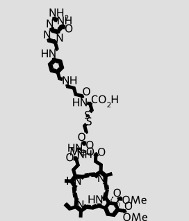 C=CC1=C(C)c2cc3[nH]c(cc4nc(cc5[nH]c(cc1n2)c(C)c5CCC(=O)NNC(=O)OCCSSCC(NC(=O)CCCNCc1ccc(NCc2cnc5nc(N)[nH]c(=O)c5n2)cc1)C(=O)O)C(CCC(=O)OC)=C4C)[C@]1(C)C3=CC=C(C(=O)OC)[C@@H]1C(=O)OC